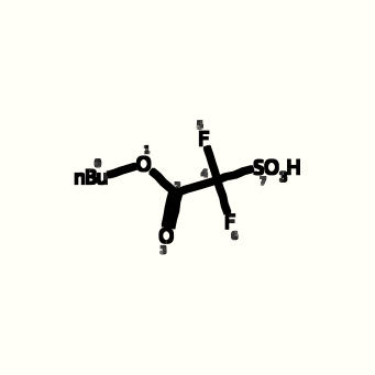 CCCCOC(=O)C(F)(F)S(=O)(=O)O